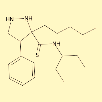 CCCCCC1(C(=S)NC(CC)CC)NNCC1c1ccccc1